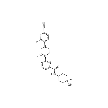 C[C@@H]1CN(c2ccc(C#N)cc2F)CCN1c1nccc(C(=O)NC2CCC(C)(O)CC2)n1